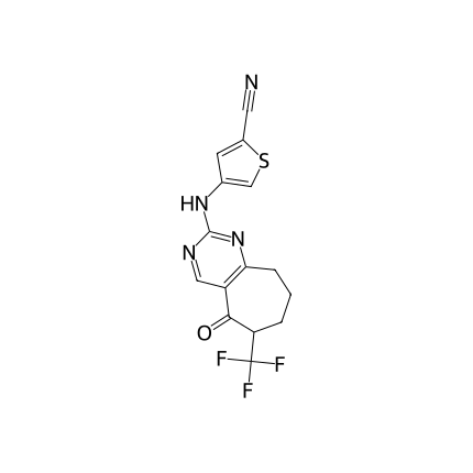 N#Cc1cc(Nc2ncc3c(n2)CCCC(C(F)(F)F)C3=O)cs1